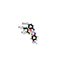 COc1ccc(CN(Cc2ccc(C)cc2)S(=O)(=O)C[C@@H](C)C/C=C(/C)F)cc1